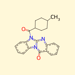 CC1CCC(C(=O)n2c3ccccc3n3c(=O)c4ccccc4nc23)CC1